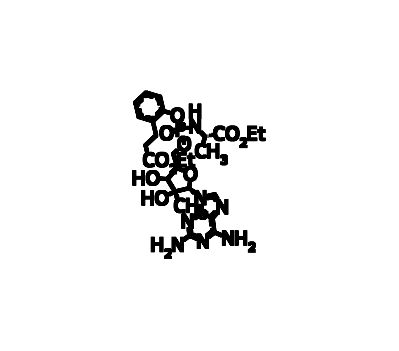 CCOC(=O)CCc1ccccc1O[P@@](=O)(N[C@@H](C)C(=O)OCC)OC[C@H]1O[C@@H](n2cnc3c(N)nc(N)nc32)[C@](C)(O)C1O